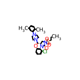 CCCS(=O)(=O)N1C[C@@H](C(=O)N2CCN(c3cc(C)ccc3C)CC2)N(c2ccccc2Cl)C1=O